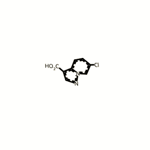 O=C(O)c1cnn2cc(Cl)ccc12